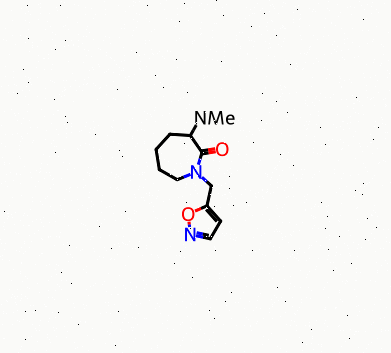 CNC1CCCCN(Cc2ccno2)C1=O